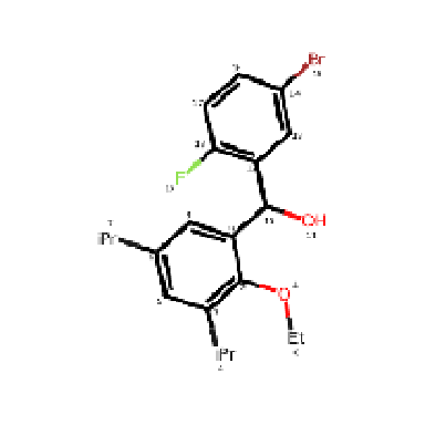 CCOc1c(C(C)C)cc(C(C)C)cc1C(O)c1cc(Br)ccc1F